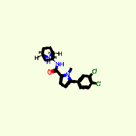 Cn1c(C(=O)N[C@@H]2C[C@H]3CC[C@@H]2N3)ccc1-c1ccc(Cl)c(Cl)c1